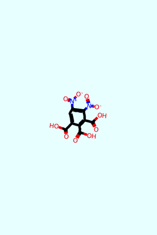 O=C(O)c1cc([N+](=O)[O-])c([N+](=O)[O-])c(C(=O)O)c1C(=O)O